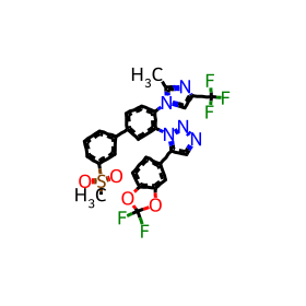 Cc1nc(C(F)(F)F)cn1-c1ccc(-c2cccc(S(C)(=O)=O)c2)cc1-n1nncc1-c1ccc2c(c1)OC(F)(F)O2